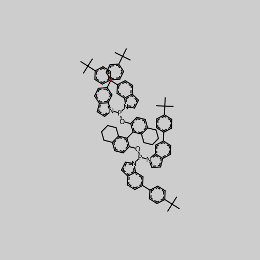 CC(C)(C)c1ccc(-c2ccc3ccn(P(Oc4ccc5c(c4-c4c(OP(n6ccc7ccc(-c8ccc(C(C)(C)C)cc8)cc76)n6ccc7ccc(-c8ccc(C(C)(C)C)cc8)cc76)ccc6c4CCCC6)CCCC5)n4ccc5ccc(-c6ccc(C(C)(C)C)cc6)cc54)c3c2)cc1